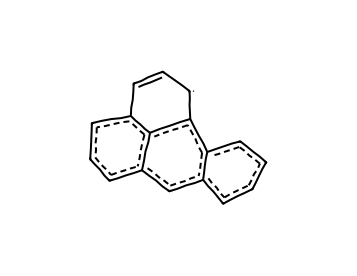 [CH]1C=Cc2cccc3cc4ccccc4c1c23